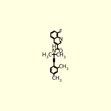 Cc1ccc(C#CC(C)(C)NC(=O)c2cnc3c(F)cccc3c2)c(C)c1